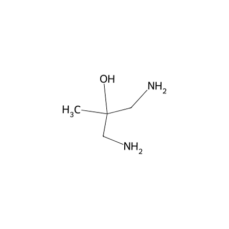 CC(O)(CN)CN